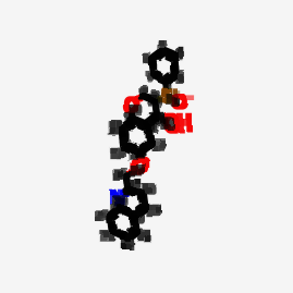 [O-][S+](c1ccccc1)[C@@H]1COc2ccc(OCc3ccc4ccccc4n3)cc2[C@H]1O